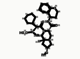 CCO[C@@H]1C[C@@H]2CN(C(=O)[C@H](C3CCCCC3)N(C(=O)O)C(C)(C)C)[C@H](C(=O)N[C@@H]3CCOc4ccccc43)CN2C1